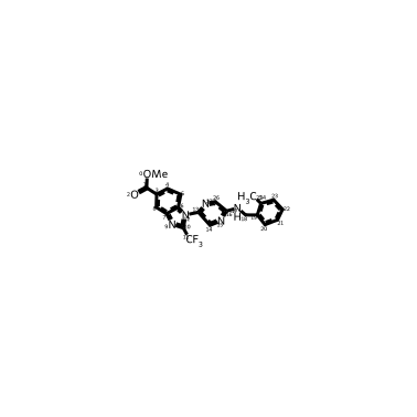 COC(=O)c1ccc2c(c1)nc(C(F)(F)F)n2-c1cnc(NCc2ccccc2C)cn1